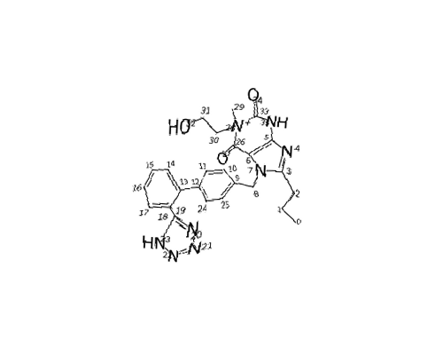 CCCc1nc2c(n1Cc1ccc(-c3ccccc3-c3nnn[nH]3)cc1)C(=O)[N+](C)(CCO)C(=O)N2